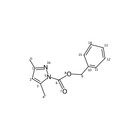 Cc1cc(C)n(C(=O)OCc2ccccc2)n1